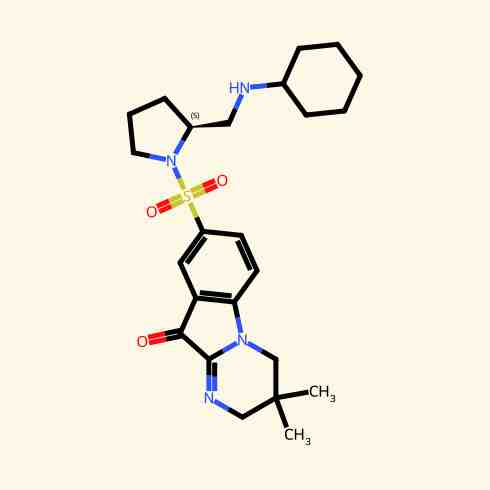 CC1(C)CN=C2C(=O)c3cc(S(=O)(=O)N4CCC[C@H]4CNC4CCCCC4)ccc3N2C1